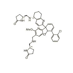 COc1nc(C2(c3ccc4c(n3)CCC[C@H]4NC[C@@H]3CCC(=O)N3)C=CC=C(c3ccccc3Cl)C2Cl)ccc1CNC[C@H]1CCC(=O)N1